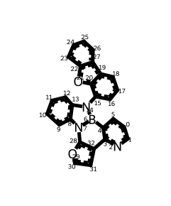 c1cnc2c(c1)B1N(c3ccccc3N1c1cccc3c1oc1ccccc13)c1occc1-2